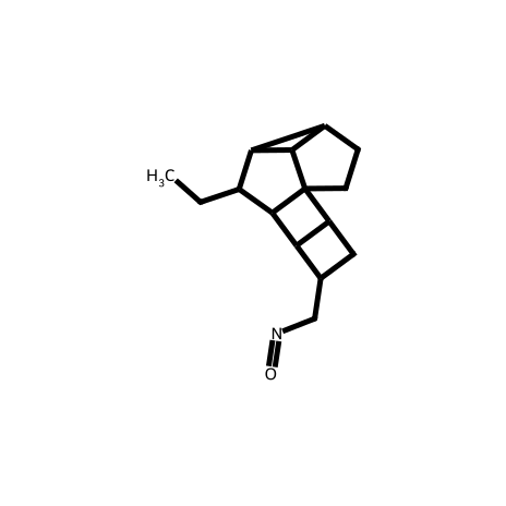 CCC1C2C3CCC4(C5CC(CN=O)C5C14)C32